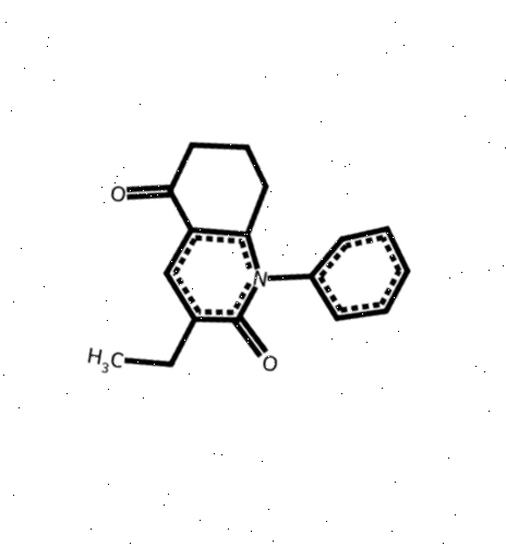 CCc1cc2c(n(-c3ccccc3)c1=O)CCCC2=O